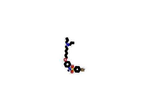 C=CCN(CC=C)CCCCCCOC1CCC(N(C)S(=O)(=O)c2ccc(Br)cc2)CC1